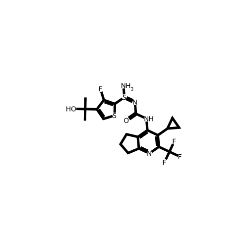 CC(C)(O)c1csc(/S(N)=N\C(=O)Nc2c3c(nc(C(F)(F)F)c2C2CC2)CCC3)c1F